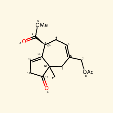 COC(=O)[C@H]1CC=C(COC(C)=O)CC2(C)C(=O)CC=C12